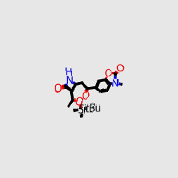 CC(O[Si](C)(C)C(C)(C)C)C1C(=O)NC1CC(=O)c1ccc2c(c1)oc(=O)n2C